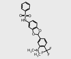 CN(C)c1cc(C2Oc3ccc(NS(=O)(=O)c4ccccc4)cc3O2)ccc1C(F)(F)F